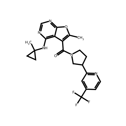 Cc1oc2ncnc(NC3(C)CC3)c2c1C(=O)N1CCC(c2cc(C(F)(F)F)ccn2)C1